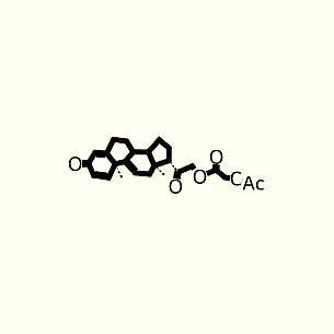 CC(=O)CCC(=O)OCC(=O)[C@H]1CCC2C3CCC4=CC(=O)C=C[C@]4(C)C3=CC[C@@]21C